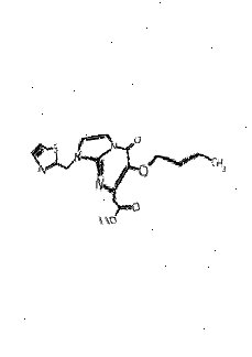 CCCCOc1c(C(=O)O)nc2n(Cc3nccs3)ccn2c1=O